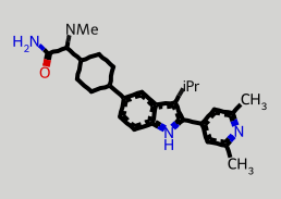 CNC(C(N)=O)C1CCC(c2ccc3[nH]c(-c4cc(C)nc(C)c4)c(C(C)C)c3c2)CC1